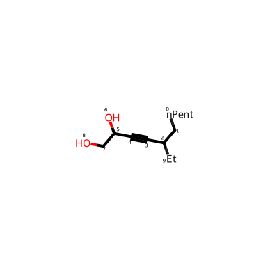 CCCCCCC(C#CC(O)CO)CC